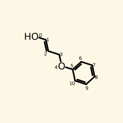 OC=CCOc1ccccc1